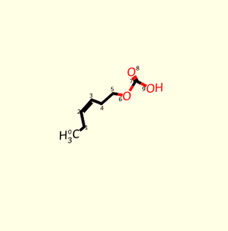 CC/C=C\CCOC(=O)O